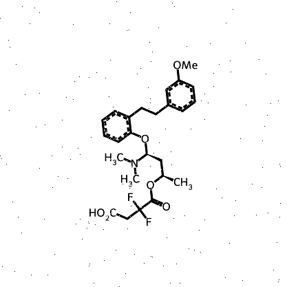 COc1cccc(CCc2ccccc2O[C@@H](C[C@@H](C)OC(=O)C(F)(F)CC(=O)O)N(C)C)c1